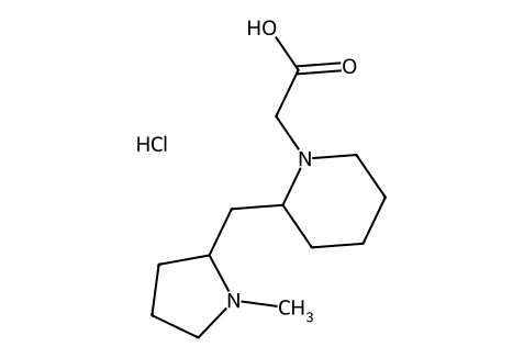 CN1CCCC1CC1CCCCN1CC(=O)O.Cl